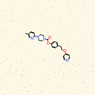 Cc1ccc(N2CCN(C(=O)Oc3ccc(CCOc4ccncc4)cc3)CC2)nc1